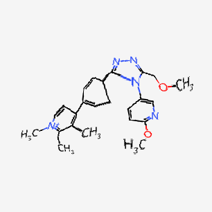 COCc1nnc(C2C=CC(c3cc[n+](C)c(C)c3C)=CC2)n1-c1ccc(OC)nc1